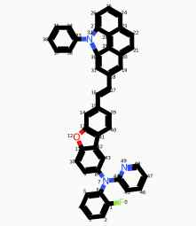 Fc1ccccc1N(c1ccc2oc3cc(/C=C/c4cc5ccc6cccc7c6c5c(c4)n7-c4ccccc4)ccc3c2c1)c1ccccn1